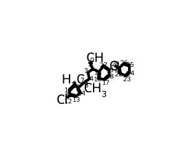 C#CC(CCC(C)(C)c1ccc(Cl)cc1)c1cccc(Oc2ccccc2)c1